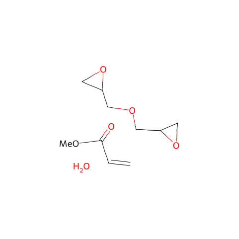 C(OCC1CO1)C1CO1.C=CC(=O)OC.O